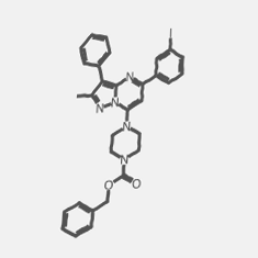 Cc1nn2c(N3CCN(C(=O)OCc4ccccc4)CC3)cc(-c3cccc(I)c3)nc2c1-c1ccccc1